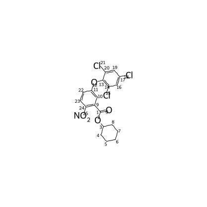 O=C(OC1CCCCC1)c1cc(Oc2c(Cl)cc(Cl)cc2Cl)ccc1[N+](=O)[O-]